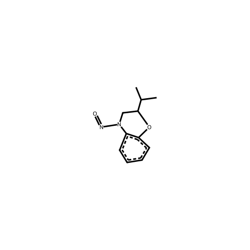 CC(C)C1CN(N=O)c2ccccc2O1